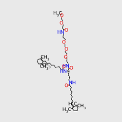 COCCOCCC(=O)NCCCOCCOCCOCCCNC(=O)[C@H](CCCCNC(=O)CCCCCCCCC1=C(C)CCCC1(C)C)NC(=O)CCCCCCCCC1=C(C)CCCC1(C)C